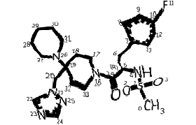 CS(=O)(=O)N[C@H](Cc1ccc(F)cc1)C(=O)N1CCC(Cn2cncn2)(N2CCCCC2)CC1